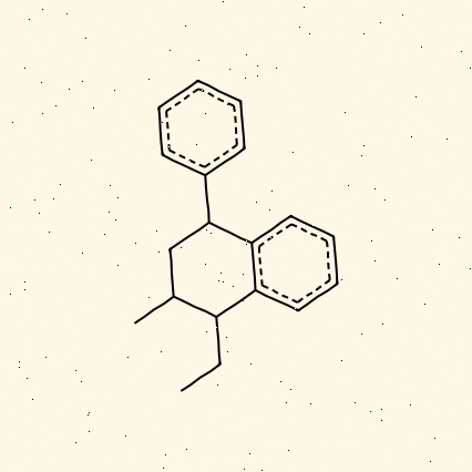 CCC1c2ccccc2C(c2ccccc2)CC1C